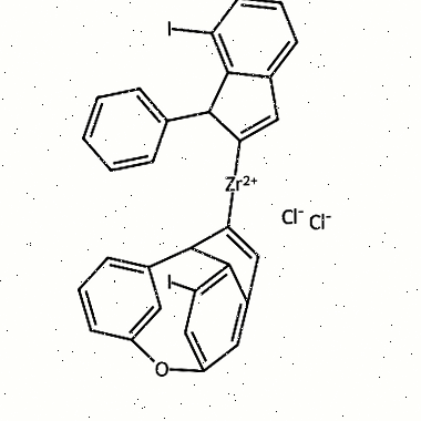 Ic1cccc2c1C(c1ccccc1)[C]([Zr+2][C]1=Cc3cc4cc(I)c3C1c1cccc(c1)O4)=C2.[Cl-].[Cl-]